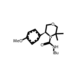 CCC(C)NC(=O)N1[C@@H](c2ccc(OC)cc2)COCC1(C)C